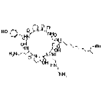 CCC(C)CC(C)CCCCCCCCC(=O)N[C@H]1C[C@@H](O)C(NCCNCCN)NC(=O)C2[C@@H](O)CCN2C(=O)C(CCCN)NC(=O)C(CCc2ccc(O)cc2)NC(=O)C2CCCN2C(=O)C(CC)NC1=O